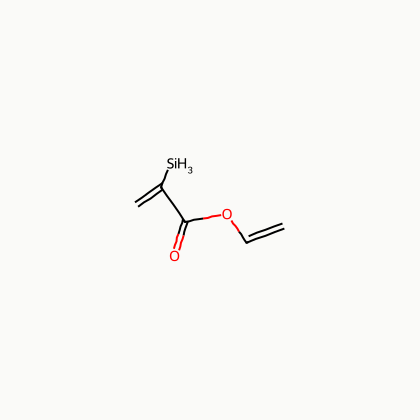 C=COC(=O)C(=C)[SiH3]